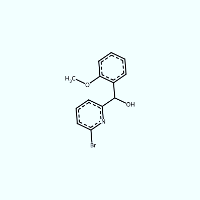 COc1ccccc1C(O)c1cccc(Br)n1